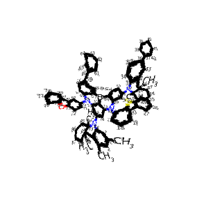 Cc1cc(C)c2c(c1)N(c1cc3c4c(c1)N(c1cccc5c1sc1ccccc15)c1cc(N5c6ccc(-c7ccccc7)cc6C6(C)CCCCC56C)ccc1B4c1cc(-c4ccccc4)ccc1N3c1ccc3oc4ccccc4c3c1)C1(C)CCCCC21C